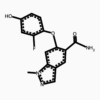 Cn1ncc2cc(C(N)=O)c(Oc3ccc(O)cc3F)cc21